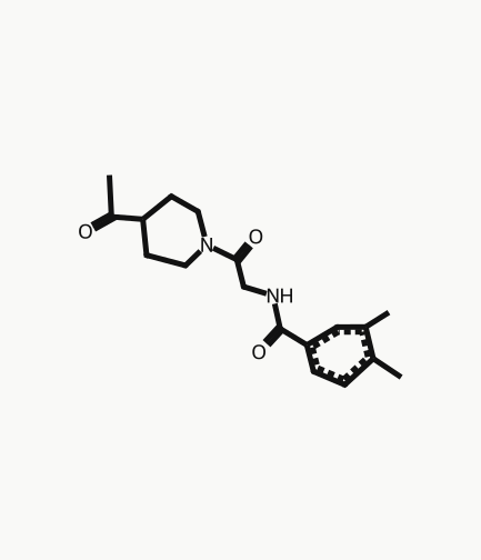 CC(=O)C1CCN(C(=O)CNC(=O)c2ccc(C)c(C)c2)CC1